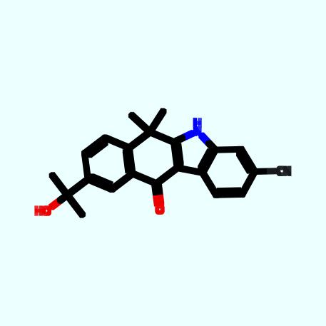 CC(C)(O)c1ccc2c(c1)C(=O)c1c([nH]c3cc(C#N)ccc13)C2(C)C